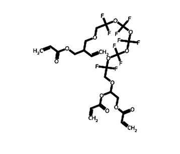 C=CC(=O)OCC(C=C)COCC(F)(F)OC(F)(F)OC(F)(F)OC(F)(F)OC(F)(F)COC(COC(=O)C=C)OC(=O)C=C